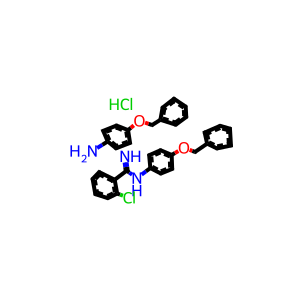 Cl.N=C(Nc1ccc(OCc2ccccc2)cc1)c1ccccc1Cl.Nc1ccc(OCc2ccccc2)cc1